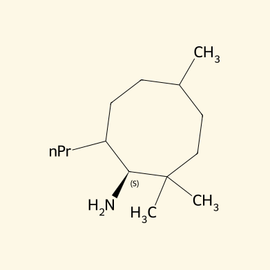 CCCC1CCC(C)CCC(C)(C)[C@H]1N